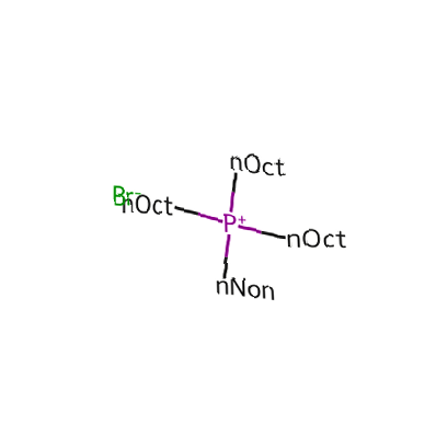 CCCCCCCCC[P+](CCCCCCCC)(CCCCCCCC)CCCCCCCC.[Br-]